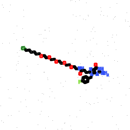 Nc1nc2c(nc(CCC(=O)NCCOCCOCCOCCOCCOCCCCCCCl)n2Cc2ccc(F)cc2)c(=O)[nH]1